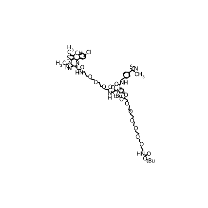 Cc1ncsc1-c1ccc(CNC(=O)[C@@H]2C[C@@H](OC(=O)COCCOCCOCCOCCOCCOCCNC(=O)OC(C)(C)C)CN2C(=O)[C@@H](NC(=O)COCCOCCOCCNC(=O)C[C@@H]2N=C(c3ccc(Cl)cc3)c3c(sc(C)c3C)-n3c(C)nnc32)C(C)(C)C)cc1